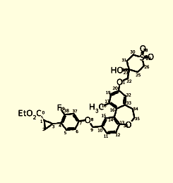 CCOC(=O)[C@H]1C[C@@H]1c1ccc(OCc2ccc3c(c2)-c2c(C)cc(OCC4(O)CCS(=O)(=O)CC4)cc2CCO3)cc1F